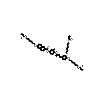 C=CC(=O)OCCCCCCOc1ccc2cc(C(=O)Oc3ccc(OC(=C)CCc4ccc(OCCCCCCOC(=O)C=C)c(OCCCCCCOC(=O)C=C)c4)c(C)c3)ccc2c1